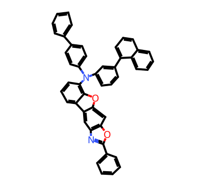 c1ccc(-c2ccc(N(c3cccc(-c4cccc5ccccc45)c3)c3cccc4c3oc3cc5oc(-c6ccccc6)nc5cc34)cc2)cc1